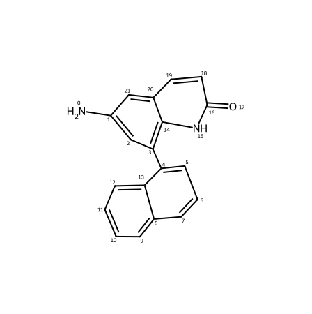 Nc1cc(-c2cccc3ccccc23)c2[nH]c(=O)ccc2c1